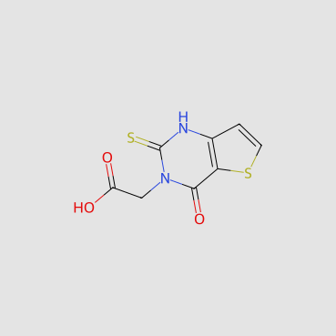 O=C(O)Cn1c(=S)[nH]c2ccsc2c1=O